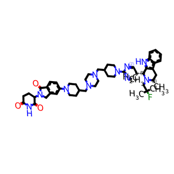 C=C(/C=N\C(=N/C)N1CCC(CN2CCN(CC3CCN(c4ccc5c(c4)CN(C4CCC(=O)NC4=O)C5=O)CC3)CC2)CC1)[C@@H]1c2[nH]c3ccccc3c2C[C@@H](C)N1CC(C)(C)F